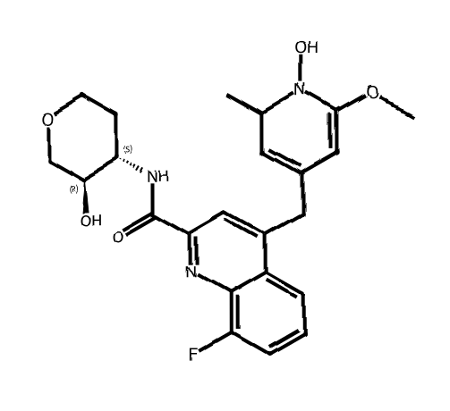 COC1=CC(Cc2cc(C(=O)N[C@H]3CCOC[C@@H]3O)nc3c(F)cccc23)=CC(C)N1O